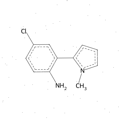 Cn1cccc1-c1cc(Cl)ccc1N